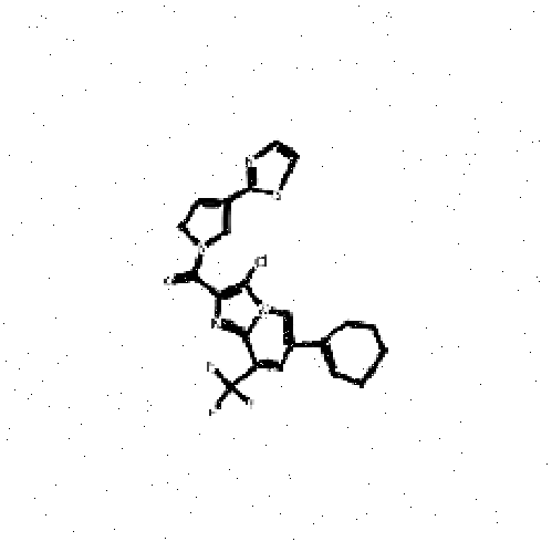 O=C(c1nc2c(C(F)(F)F)cc(C3=CCCCC3)cn2c1Cl)N1CC=C(c2nccs2)C1